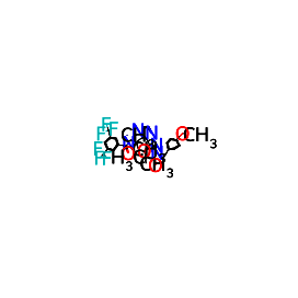 COc1ccc(CN2N=C(c3nccnc3C(C)N(C)C(=O)c3cc(C(F)(F)F)cc(C(F)(F)F)c3)OC(C)(C)C2=O)cc1